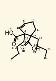 CCCCC1(C(=O)O)C=CCCC1(CCCC)C(=O)O